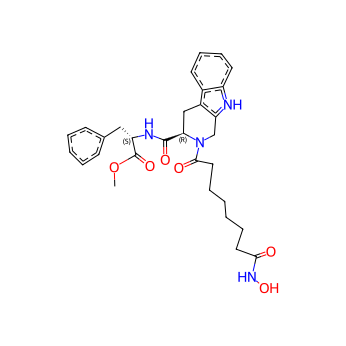 COC(=O)[C@H](Cc1ccccc1)NC(=O)[C@H]1Cc2c([nH]c3ccccc23)CN1C(=O)CCCCCCC(=O)NO